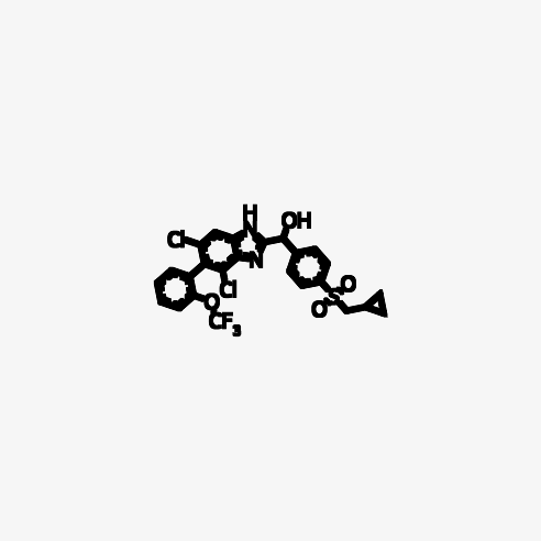 O=S(=O)(CC1CC1)c1ccc(C(O)c2nc3c(Cl)c(-c4ccccc4OC(F)(F)F)c(Cl)cc3[nH]2)cc1